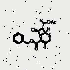 CC(=O)OC(C)[C@H]1C(=O)N2C(C(=O)OCc3ccccc3)=C(C)CS[C@H]12